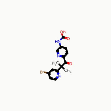 CC(C)(C(=O)c1ccc(NC(=O)O)cn1)c1cc(Br)ccn1